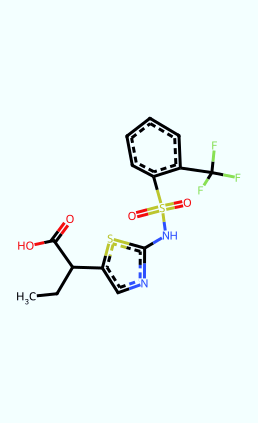 CCC(C(=O)O)c1cnc(NS(=O)(=O)c2ccccc2C(F)(F)F)s1